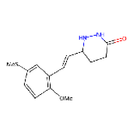 COc1ccc(SC)cc1/C=C/C1CCC(=O)NN1